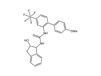 COc1ccc(-c2ccc(S(F)(F)(F)(F)F)cc2NC(=O)NC2c3ccccc3CC2O)cc1